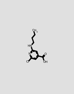 CCCCNc1cc(C(=O)O)cc(Cl)n1